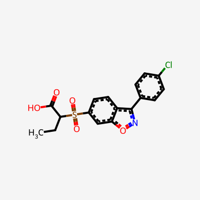 CCC(C(=O)O)S(=O)(=O)c1ccc2c(-c3ccc(Cl)cc3)noc2c1